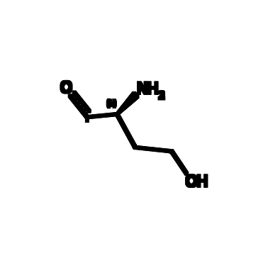 N[C@H]([C]=O)CCO